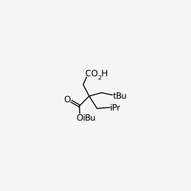 CC(C)COC(=O)C(CC(=O)O)(CC(C)C)CC(C)(C)C